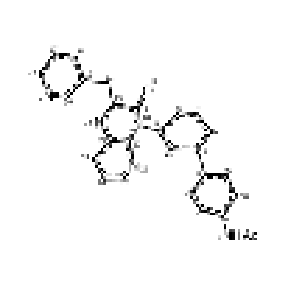 CC(=O)Nc1ccc(-c2cccc(-n3c(=O)c(Cc4cccnc4)nc4cccnc43)c2)cc1